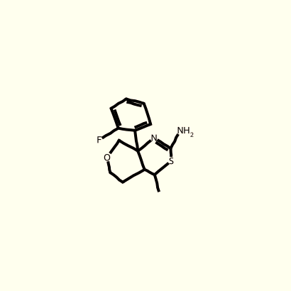 CC1SC(N)=NC2(c3ccccc3F)COCCC12